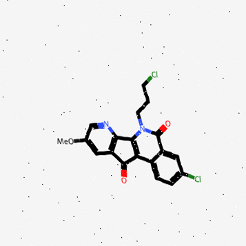 COc1cnc2c(c1)C(=O)c1c-2n(CCCCl)c(=O)c2cc(Cl)ccc12